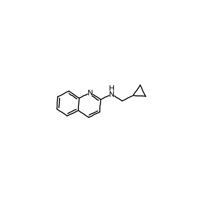 c1ccc2nc(NCC3CC3)ccc2c1